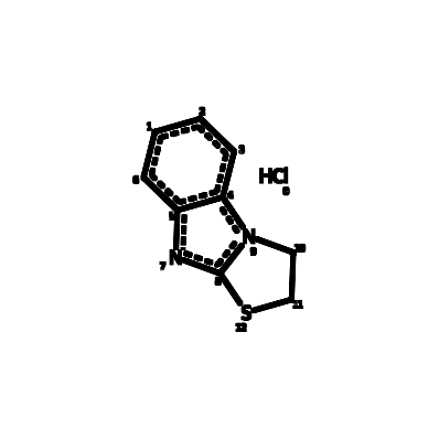 Cl.c1ccc2c(c1)nc1n2CCS1